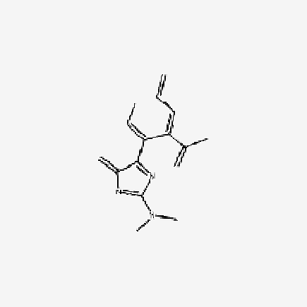 C=C/C=C(C(=C)C)\C(=C/C)C1=NC(N(C)C)=NC1=C